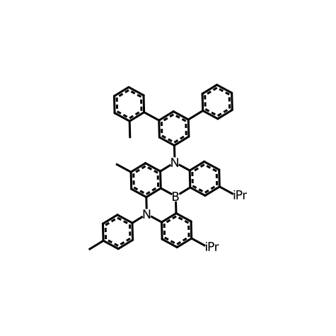 Cc1ccc(N2c3ccc(C(C)C)cc3B3c4cc(C(C)C)ccc4N(c4cc(-c5ccccc5)cc(-c5ccccc5C)c4)c4cc(C)cc2c43)cc1